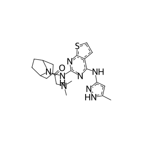 Cc1cc(Nc2nc(NC3CC4CCC(C3)N4C(=O)CN(C)C)nc3sccc23)n[nH]1